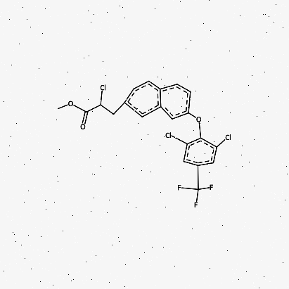 COC(=O)C(Cl)Cc1ccc2ccc(Oc3c(Cl)cc(C(F)(F)F)cc3Cl)cc2c1